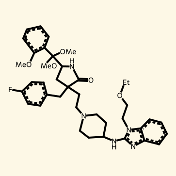 CCOCCn1c(NC2CCN(CCC3(Cc4ccc(F)cc4)CC(C(OC)(OC)c4ccccc4OC)NC3=O)CC2)nc2ccccc21